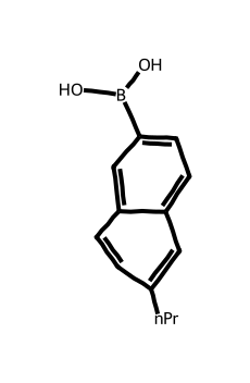 CCCc1ccc2cc(B(O)O)ccc2c1